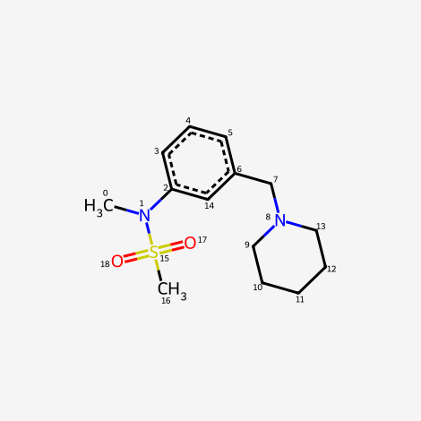 CN(c1cccc(CN2CCCCC2)c1)S(C)(=O)=O